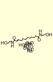 O=C(C=CCCCCCCCCC(=O)NCCO)NCCO.O=P([O-])([O-])OP(=O)(O)O.[Na+].[Na+]